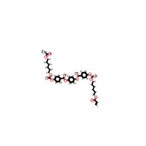 C=CC(=O)OCCCCCCOC(=O)Oc1ccc(C(=O)Oc2ccc(OC(=O)c3ccc(OC(=O)OCCCCCCOC(=O)CC)cc3)cc2)cc1